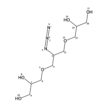 [N-]=[N+]=NC(COCC(O)CO)COCC(O)CO